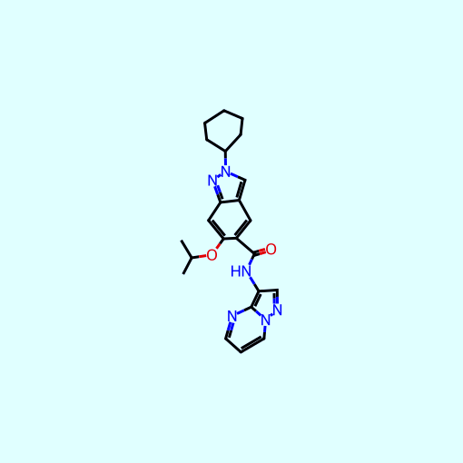 CC(C)Oc1cc2nn(C3CCCCC3)cc2cc1C(=O)Nc1cnn2cccnc12